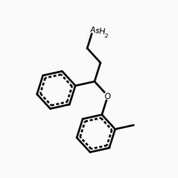 Cc1ccccc1OC(CC[AsH2])c1ccccc1